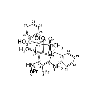 CCCNc1c(CCC)c(N)c(Cc2ccccc2)c2c1N(C)C(O)(C(=O)O)C2(Oc1ccccc1)S(C)(=O)=O